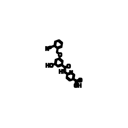 N#Cc1ccccc1COc1cc(O)cc(C(=O)Nc2ccc([N+](=O)O)cn2)c1